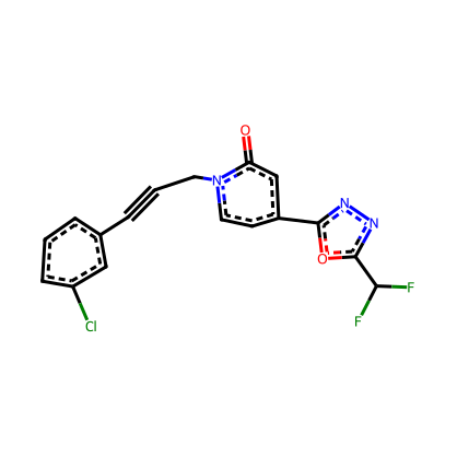 O=c1cc(-c2nnc(C(F)F)o2)ccn1CC#Cc1cccc(Cl)c1